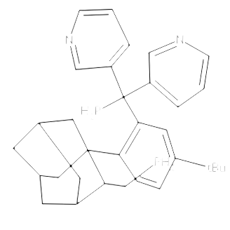 CC(C)(C)c1ccc(C23CC4CC(CC(C4)C2CP)C3)c(C(P)(c2cccnc2)c2cccnc2)c1